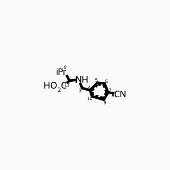 CC(C)C(NCc1ccc(C#N)cc1)C(=O)O